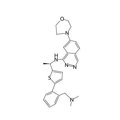 C[C@@H](Nc1nncc2ccc(N3CCOCC3)cc12)c1ccc(-c2ccccc2CN(C)C)s1